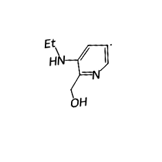 CCNc1c[c]cnc1CO